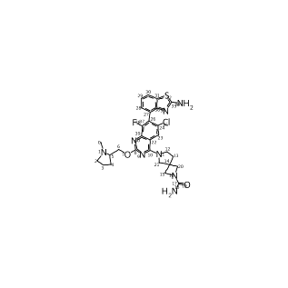 CN1CCCC1COc1nc(N2CCC3(CN(C(N)=O)C3)C2)c2cc(Cl)c(-c3cccc4sc(N)nc34)c(F)c2n1